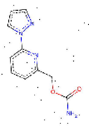 NC(=O)OCc1cccc(-n2cccn2)n1